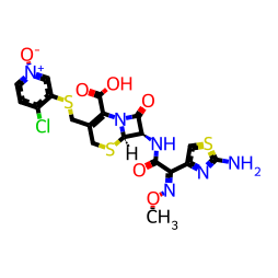 CO/N=C(\C(=O)N[C@@H]1C(=O)N2C(C(=O)O)=C(CSc3c[n+]([O-])ccc3Cl)CS[C@H]12)c1csc(N)n1